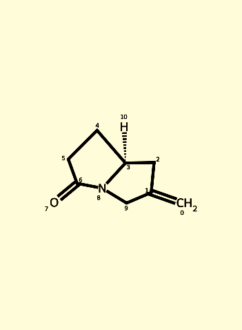 C=C1C[C@@H]2CCC(=O)N2C1